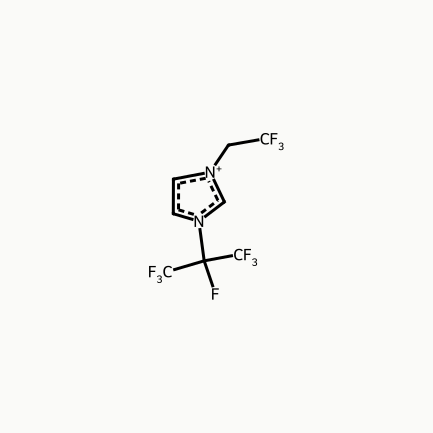 FC(F)(F)C[n+]1ccn(C(F)(C(F)(F)F)C(F)(F)F)c1